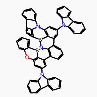 c1ccc2c(c1)Oc1cc(-n3c4ccccc4c4ccccc43)cc3c1B2N1B2c4c(cc(-n5c6ccccc6c6ccccc65)cc4-n4c5ccccc5c5cccc2c54)-c2cccc-3c21